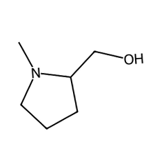 CN1CCCC1CO